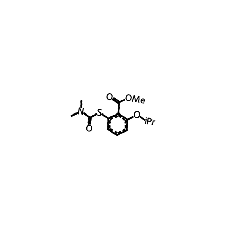 COC(=O)c1c(OC(C)C)cccc1SC(=O)N(C)C